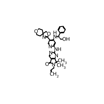 C=CCN1C(=O)c2cnc(Nc3cc(N[C@H](CO)c4ccccc4)c(C4=NC5(CCOCC5)CO4)cn3)nc2C1(C)C